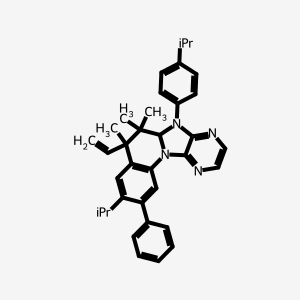 C=CC1(C)c2cc(C(C)C)c(-c3ccccc3)cc2N2c3nccnc3N(c3ccc(C(C)C)cc3)C2C1(C)C